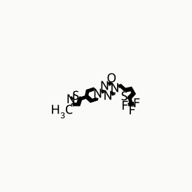 Cc1cc(C2=CCN(c3ncn(Cc4ccc(C(F)(F)F)s4)c(=O)n3)CC2)sn1